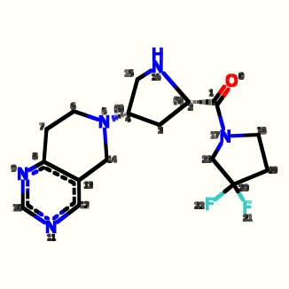 O=C([C@@H]1C[C@H](N2CCc3ncncc3C2)CN1)N1CCC(F)(F)C1